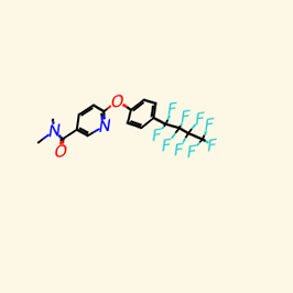 CN(C)C(=O)c1ccc(Oc2ccc(C(F)(F)C(F)(F)C(F)(F)C(F)(F)F)cc2)nc1